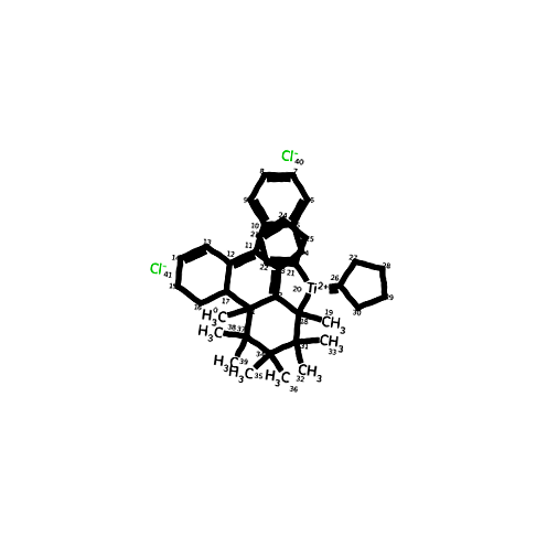 CC12C(=C3Cc4ccccc4C3=C3C=CCCC31)[C](C)([Ti+2]([C]1=CC=CC1)=[C]1CCCC1)C(C)(C)C(C)(C)C2(C)C.[Cl-].[Cl-]